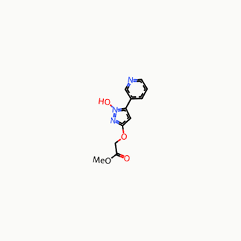 COC(=O)COc1cc(-c2cccnc2)n(O)n1